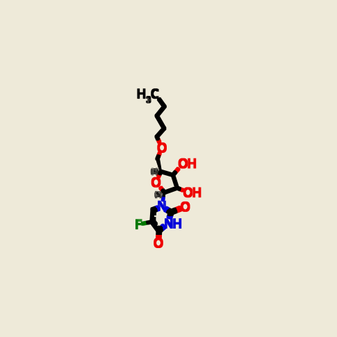 CCCCCOC[C@@H]1O[C@H](n2cc(F)c(=O)[nH]c2=O)C(O)C1O